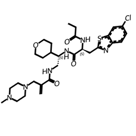 C=C(CN1CCN(C)CC1)C(=O)NC[C@@H](NC(=O)[C@H](Cc1nc2ccc(Cl)cc2s1)NC(=O)CC)C1CCOCC1